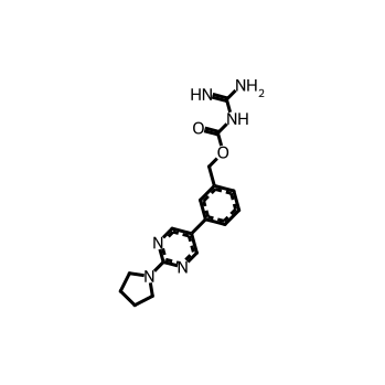 N=C(N)NC(=O)OCc1cccc(-c2cnc(N3CCCC3)nc2)c1